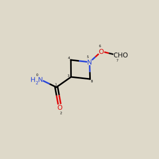 NC(=O)C1CN(OC=O)C1